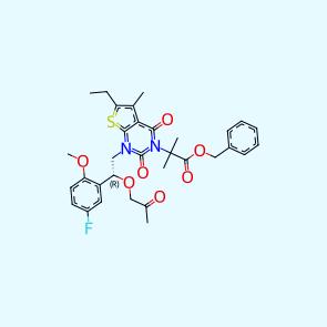 CCc1sc2c(c1C)c(=O)n(C(C)(C)C(=O)OCc1ccccc1)c(=O)n2C[C@H](OCC(C)=O)c1cc(F)ccc1OC